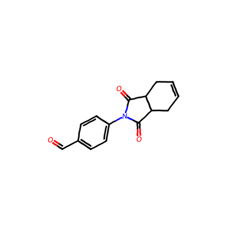 O=Cc1ccc(N2C(=O)C3CC=CCC3C2=O)cc1